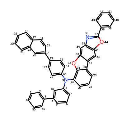 c1ccc(-c2cccc(N(c3ccc(-c4ccc5ccccc5c4)cc3)c3cccc4c3oc3cc5nc(-c6ccccc6)oc5cc34)c2)cc1